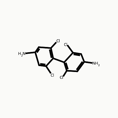 Nc1cc(Cl)c(-c2c(Cl)cc(N)cc2Cl)c(Cl)c1